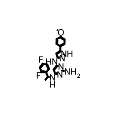 COc1ccc(-c2cc(Nc3cc(NC(C)c4ccc(F)cc4F)nc(N)n3)n[nH]2)cc1